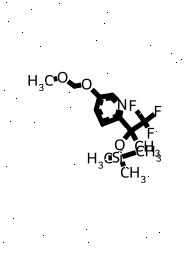 COCOc1ccc(C(C)(O[Si](C)(C)C)C(F)(F)F)nc1